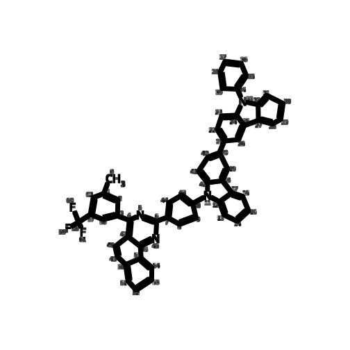 Cc1cc(-c2nc(-c3ccc(-n4c5ccccc5c5cc(-c6ccc7c(c6)c6ccccc6n7-c6ccccc6)ccc54)cc3)nc3c2ccc2ccccc23)cc(C(F)(F)F)c1